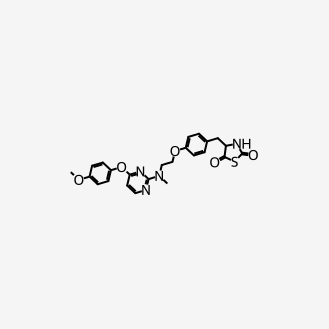 COc1ccc(Oc2ccnc(N(C)CCOc3ccc(CC4NC(=O)SC4=O)cc3)n2)cc1